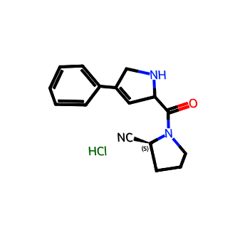 Cl.N#C[C@@H]1CCCN1C(=O)C1C=C(c2ccccc2)CN1